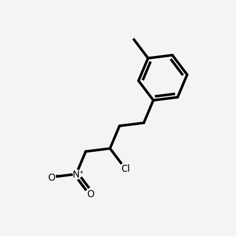 Cc1cccc(CCC(Cl)C[N+](=O)[O-])c1